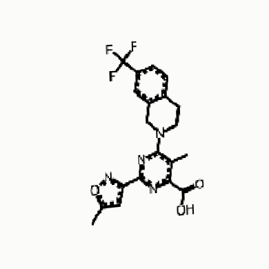 Cc1cc(-c2nc(C(=O)O)c(C)c(N3CCc4ccc(C(F)(F)F)cc4C3)n2)no1